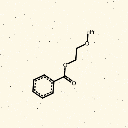 [CH2]CCOCCOC(=O)c1ccccc1